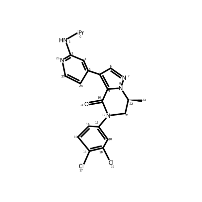 CC(C)Nc1cc(-c2cnn3c2C(=O)N(c2ccc(Cl)c(Cl)c2)C[C@@H]3C)ccn1